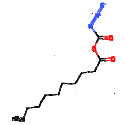 CCCCCCCCCCCCCCCCCC(=O)OC(=O)N=[N+]=[N-]